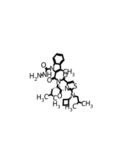 Cc1c(C(=O)N(C(=O)c2csc(N(CC(C)C)C3CCC3)n2)[C@H]([C]=O)CC(C)C)n(C(=O)NN)c2ccccc12